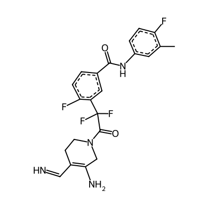 Cc1cc(NC(=O)c2ccc(F)c(C(F)(F)C(=O)N3CCC(C=N)=C(N)C3)c2)ccc1F